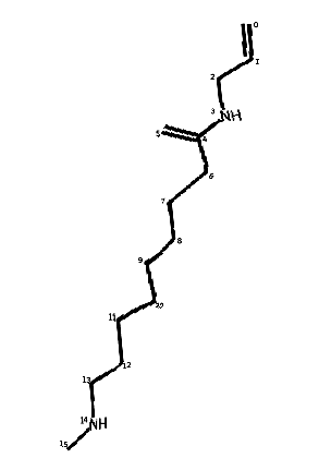 C=CCNC(=C)CCCCCCCCNC